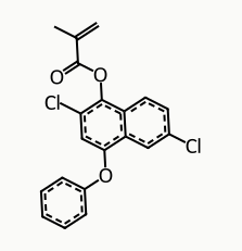 C=C(C)C(=O)Oc1c(Cl)cc(Oc2ccccc2)c2cc(Cl)ccc12